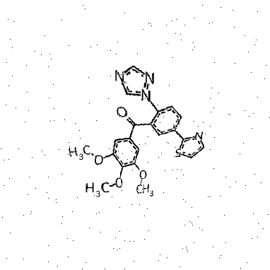 COc1cc(C(=O)c2cc(-c3nccs3)ccc2-n2cncn2)cc(OC)c1OC